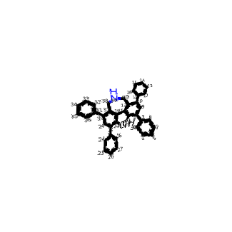 Cc1c(-c2ccccc2)cc(-c2ccccc2)c2c1-c1c(C)c(-c3ccccc3)cc(-c3ccccc3)c1CNC2